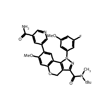 COc1cc(F)cc(-n2nc(C(=O)N(C)C(C)(C)C)c3c2-c2cc(-c4cncc(C(N)=O)c4)c(OC)cc2OC3)c1